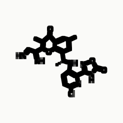 Cc1cc([C@@H](C)Nc2ccc(Cl)nc2-c2noc(=O)[nH]2)c2oc(C(=N)C=N)c(C)c(=O)c2c1